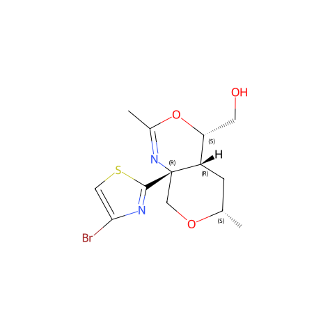 CC1=N[C@@]2(c3nc(Br)cs3)CO[C@@H](C)C[C@H]2[C@@H](CO)O1